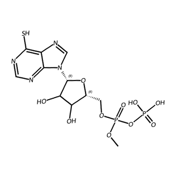 COP(=O)(OC[C@H]1O[C@@H](n2cnc3c(S)ncnc32)C(O)C1O)OP(=O)(O)O